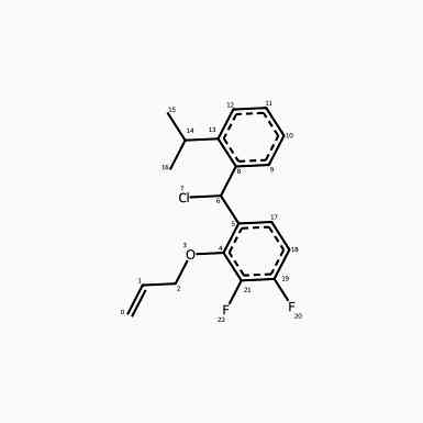 C=CCOc1c(C(Cl)c2ccccc2C(C)C)ccc(F)c1F